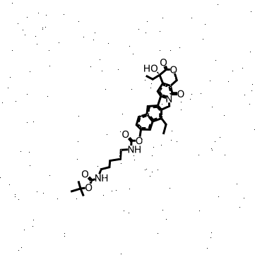 CCc1c2c(cc3ccc(OC(=O)NCCCCCNC(=O)OC(C)(C)C)cc13)-c1cc3c(c(=O)n1C2)COC(=O)[C@]3(O)CC